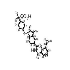 Cc1c(C)n(Cc2ccc(C(C)(C)C(=O)O)cc2)c2ccc(C(=O)NC(C)c3cncc(C4CC4)n3)cc12